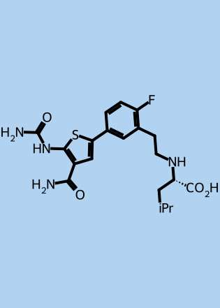 CC(C)C[C@H](NCCc1cc(-c2cc(C(N)=O)c(NC(N)=O)s2)ccc1F)C(=O)O